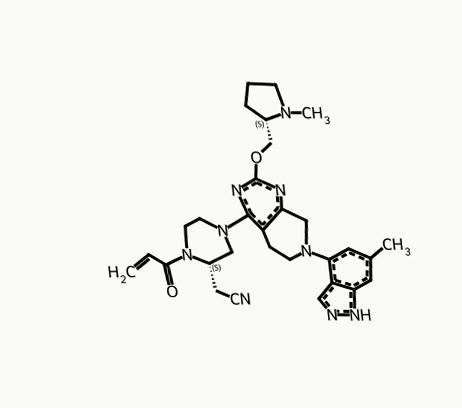 C=CC(=O)N1CCN(c2nc(OC[C@@H]3CCCN3C)nc3c2CCN(c2cc(C)cc4[nH]ncc24)C3)C[C@@H]1CC#N